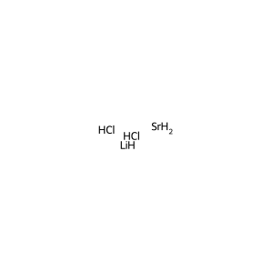 Cl.Cl.[LiH].[SrH2]